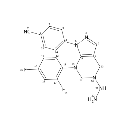 N#Cc1ccc(-n2ncc3c2N(c2ccc(F)cc2F)CN(NN)C3)cc1